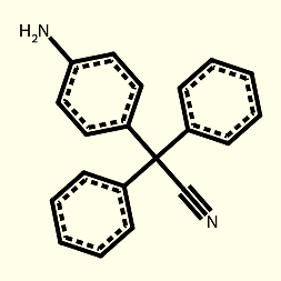 N#CC(c1ccccc1)(c1ccccc1)c1ccc(N)cc1